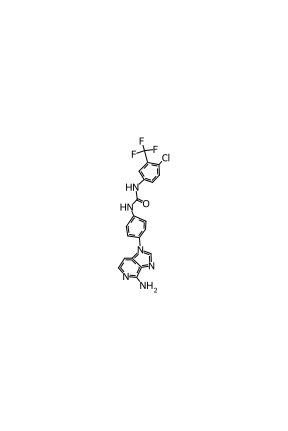 Nc1nccc2c1ncn2-c1ccc(NC(=O)Nc2ccc(Cl)c(C(F)(F)F)c2)cc1